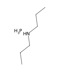 CCCNCCC.P